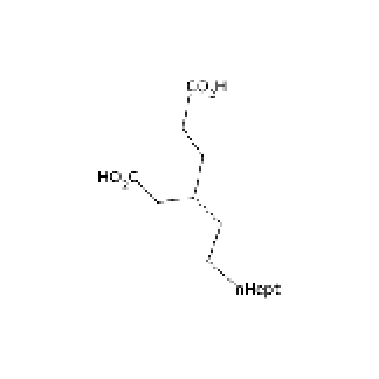 CCCCCCCCCC(CCC(=O)O)CC(=O)O